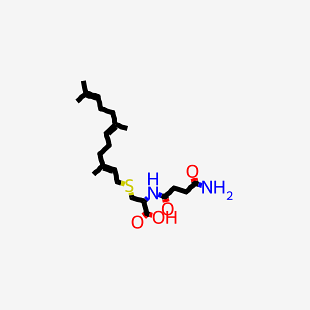 CC(C)=CCCC(C)=CCCC(C)=CCSCC(NC(=O)CCC(N)=O)C(=O)O